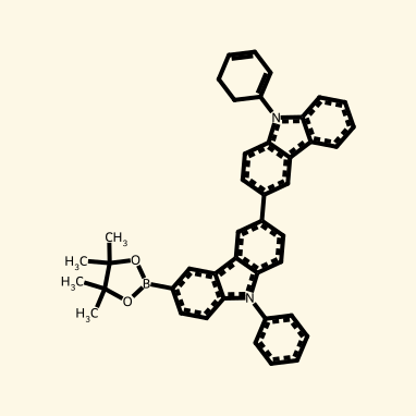 CC1(C)OB(c2ccc3c(c2)c2cc(-c4ccc5c(c4)c4ccccc4n5C4=CC=CCC4)ccc2n3-c2ccccc2)OC1(C)C